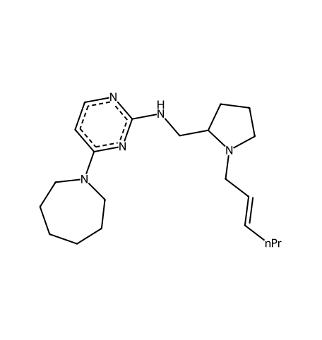 CCC/C=C/CN1CCCC1CNc1nccc(N2CCCCCC2)n1